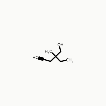 C#CCC(C)(CC)CO